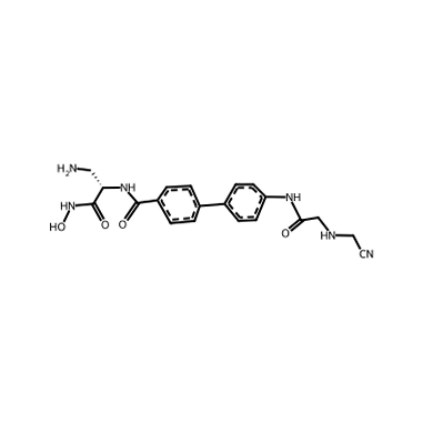 N#CCNCC(=O)Nc1ccc(-c2ccc(C(=O)N[C@@H](CN)C(=O)NO)cc2)cc1